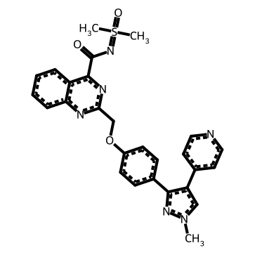 Cn1cc(-c2ccncc2)c(-c2ccc(OCc3nc(C(=O)N=S(C)(C)=O)c4ccccc4n3)cc2)n1